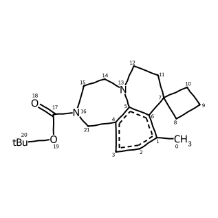 Cc1ccc2c3c1C1(CCC1)CCN3CCN(C(=O)OC(C)(C)C)C2